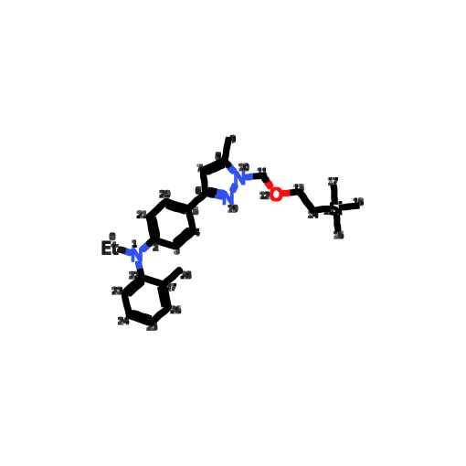 CCN(c1ccc(-c2cc(C)n(COCC[Si](C)(C)C)n2)cc1)c1ccccc1C